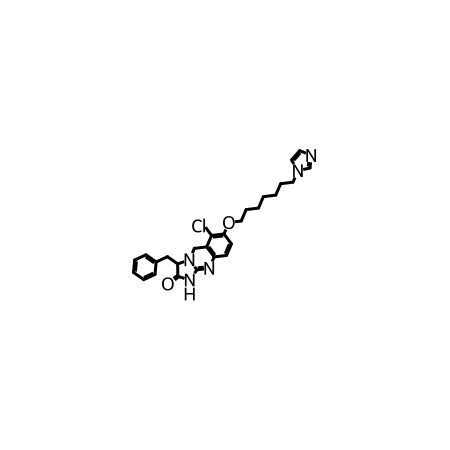 O=C1NC2=Nc3ccc(OCCCCCCCn4ccnc4)c(Cl)c3CN2C1Cc1ccccc1